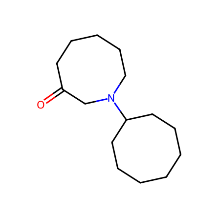 O=C1CCCCCN(C2CCCCCCC2)C1